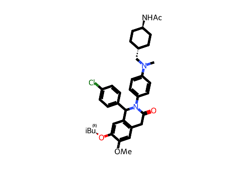 CC[C@@H](C)Oc1cc2c(cc1OC)CC(=O)N(c1ccc(N(C)C[C@H]3CC[C@H](NC(C)=O)CC3)cc1)C2c1ccc(Cl)cc1